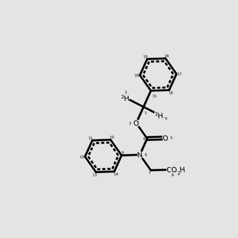 [2H]C([2H])(OC(=O)N(CC(=O)O)c1ccccc1)c1ccccc1